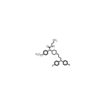 CCCNC(=O)N(c1ccc(OC)cc1)C1CCN(CCCC(c2ccc(F)cc2)c2ccc(F)cc2)CC1